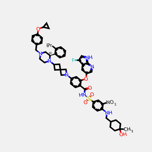 CC(C)c1ccccc1[C@@H]1CN(Cc2ccc(OC3CC3)cc2)CCN1C1CC2(C1)CN(c1ccc(C(=O)NS(=O)(=O)c3ccc(NCC4CCC(C)(O)CC4)c([N+](=O)[O-])c3)c(Oc3cnc4[nH]cc(F)c4c3)c1)C2